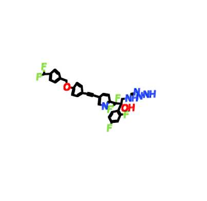 N=N/N=C\NCC(O)(c1ccc(F)cc1F)C(F)(F)c1ccc(C#Cc2ccc(OCc3ccc(C(F)F)cc3)cc2)cn1